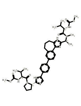 COC(=O)N[C@H](C(=O)N(C)[C@@H](C)c1nc2c([nH]1)CCCc1cc(-c3ccc(-c4cnc([C@@H]5CCCN5C(=O)[C@@H](NC(=O)OC)C(C)C)[nH]4)cc3)ccc1-2)C(C)C